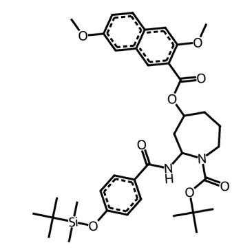 COc1ccc2cc(OC)c(C(=O)OC3CCCN(C(=O)OC(C)(C)C)C(NC(=O)c4ccc(O[Si](C)(C)C(C)(C)C)cc4)C3)cc2c1